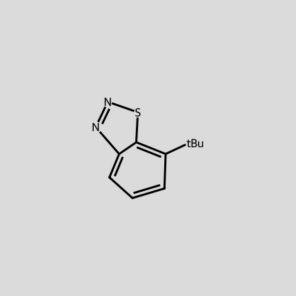 CC(C)(C)c1cccc2nnsc12